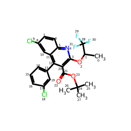 CC(Oc1nc2ccc(Cl)cc2c(-c2cccc(Cl)c2)c1C(=O)OC(C)(C)C)C(F)(F)F